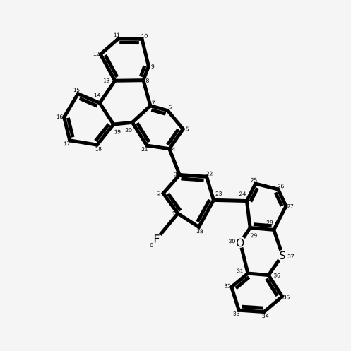 Fc1cc(-c2ccc3c4ccccc4c4ccccc4c3c2)cc(-c2cccc3c2Oc2ccccc2S3)c1